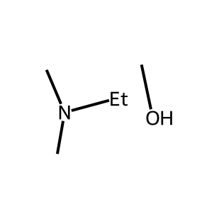 CCN(C)C.CO